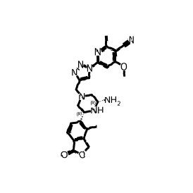 COc1cc(-n2cc(CN3C[C@@H](c4ccc5c(c4C)COC5=O)N[C@@H](N)C3)nn2)nc(C)c1C#N